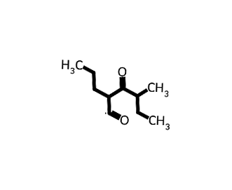 CCCC([C]=O)C(=O)C(C)CC